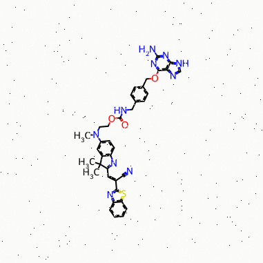 CN(CCOC(=O)NCc1ccc(COc2nc(N)nc3[nH]cnc23)cc1)c1ccc2c(c1)C(C)(C)C(/C=C(\C#N)c1nc3ccccc3s1)=N2